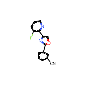 N#Cc1cccc(-c2nc(-c3ncccc3F)co2)c1